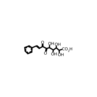 O=C(C=Cc1ccccc1)C(=O)C(O)C(O)C(O)C(O)C(=O)O